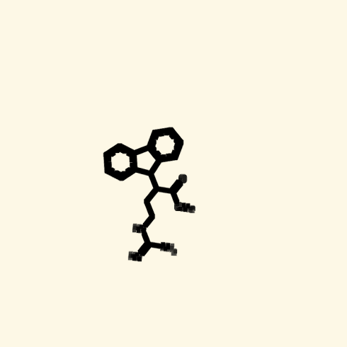 COC(=O)[C](CCNC(=N)N)C1c2ccccc2-c2ccccc21